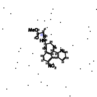 COC(=O)/C(C)=N\NC1=Nc2ccc([N+](=O)[O-])cc2C(c2ccccn2)=NC1